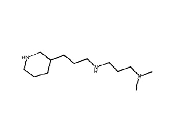 CN(C)CCCNCCCC1CCCNC1